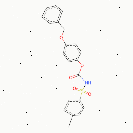 Cc1ccc(S(=O)(=O)NC(=O)Oc2ccc(OCc3ccccc3)cc2)cc1